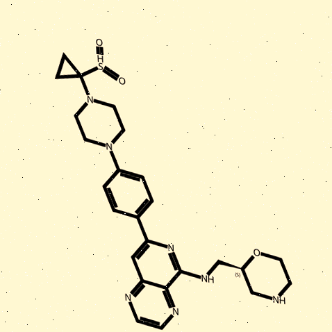 O=[SH](=O)C1(N2CCN(c3ccc(-c4cc5nccnc5c(NC[C@@H]5CNCCO5)n4)cc3)CC2)CC1